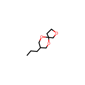 CCCC1COC2(CCOC2)OC1